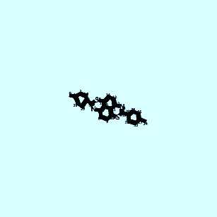 Cc1ccc(C2=Nc3ccc4c5c(ccc(c35)S2)N=C(c2ccc(C)cc2)S4)cc1